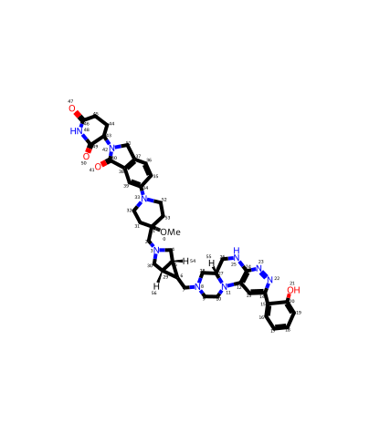 COC1(CN2C[C@@H]3C(CN4CCN5c6cc(-c7ccccc7O)nnc6NC[C@H]5C4)[C@@H]3C2)CCN(c2ccc3c(c2)C(=O)N(C2CCC(=O)NC2=O)C3)CC1